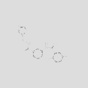 O=C(NCc1cnco1)c1ccc2c(c1)NC(=O)c1cc(F)ccc1S2